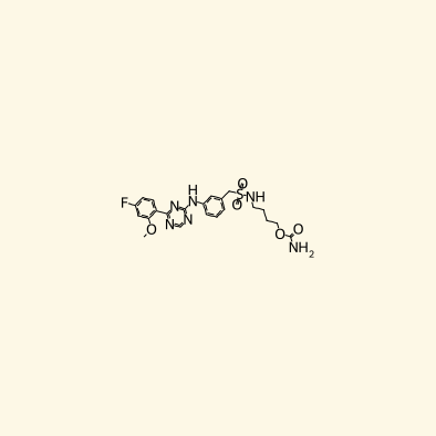 COc1cc(F)ccc1-c1ncnc(Nc2cccc(CS(=O)(=O)NCCCCOC(N)=O)c2)n1